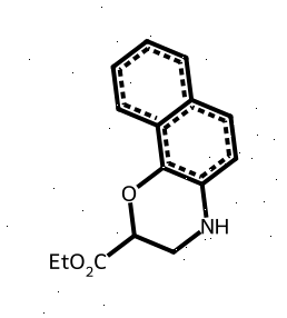 CCOC(=O)C1CNc2ccc3ccccc3c2O1